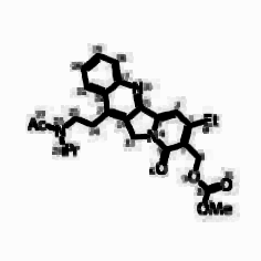 CCc1cc2n(c(=O)c1COC(=O)OC)Cc1c-2nc2ccccc2c1CCN(C(C)=O)C(C)C